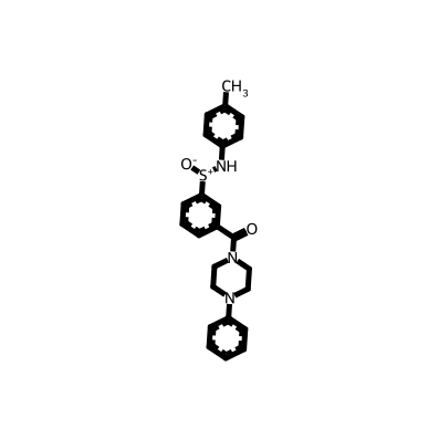 Cc1ccc(N[S+]([O-])c2cccc(C(=O)N3CCN(c4ccccc4)CC3)c2)cc1